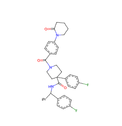 CC(C)C(NC(=O)C1(c2ccc(F)cc2)CCN(C(=O)c2ccc(N3CCCCC3=O)cc2)CC1)c1ccc(F)cc1